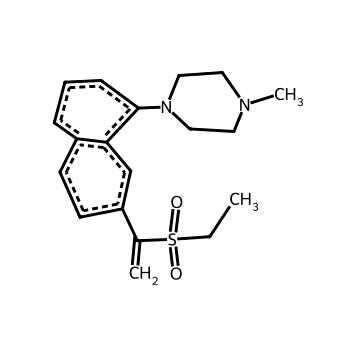 C=C(c1ccc2cccc(N3CCN(C)CC3)c2c1)S(=O)(=O)CC